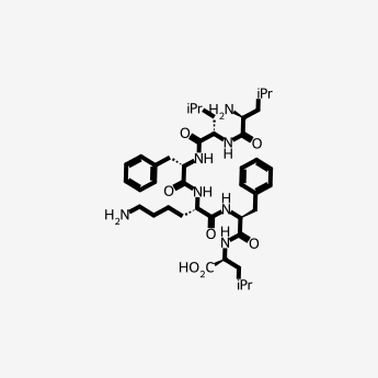 CC(C)C[C@H](NC(=O)[C@H](Cc1ccccc1)NC(=O)[C@H](CCCCN)NC(=O)[C@H](Cc1ccccc1)NC(=O)[C@H](CC(C)C)NC(=O)[C@@H](N)CC(C)C)C(=O)O